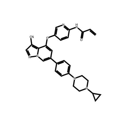 C=CC(=O)Nc1ccc(Oc2cc(-c3ccc(N4CCN(C5CC5)CC4)cc3)cn3ncc(C#N)c23)cn1